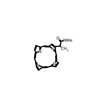 CNC(=O)C(C)C1=CC2=CC3=NC(=CC4=NC(=CC5=NC(=CC1=N2)C=C5)C=C4)C=C3